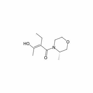 CC/C(C(=O)N1CCOC[C@@H]1C)=C(/C)O